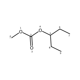 [CH2]OC(=O)OC(CC)CC